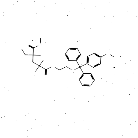 CCC(C)(CC(C)(C)C(=O)OCCSC(c1ccccc1)(c1ccccc1)c1ccc(OC)cc1)C(=O)OC